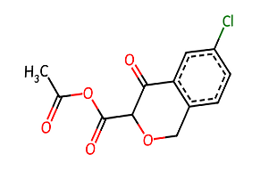 CC(=O)OC(=O)C1OCc2ccc(Cl)cc2C1=O